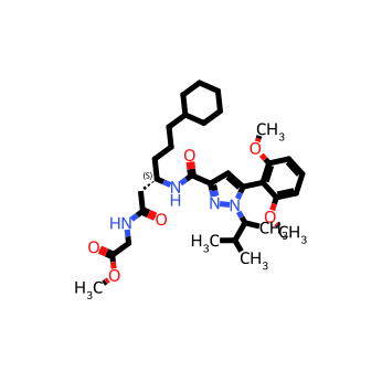 COC(=O)CNC(=O)C[C@H](CCCC1CCCCC1)NC(=O)c1cc(-c2c(OC)cccc2OC)n(C(C)C(C)C)n1